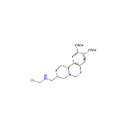 COc1cc2c(cc1OC)C1CCC(CNCC(C)C)CN1CC2